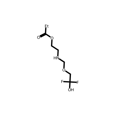 CCC(=O)OCCNCOCC(O)(F)F